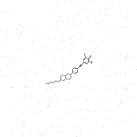 CCCCCCC1CCC2CC(c3ccc(C#Cc4cc(F)c(F)c(F)c4)cc3)CCC2C1